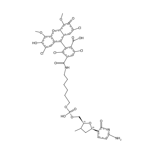 COc1c2oc3c(OC)c(O)c(Cl)cc3c(-c3c(Cl)c(C(=O)NCCCCCCOP(=O)(O)OC[C@H]4O[C@@H](n5ccc(N)nc5=O)CC4C)cc(Cl)c3C(=O)O)c-2cc(Cl)c1=O